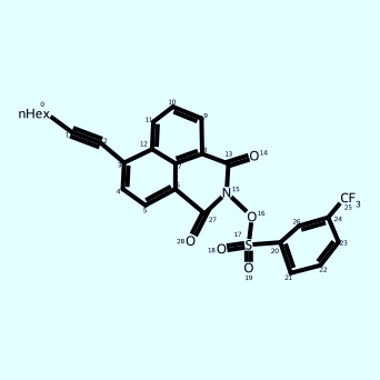 CCCCCCC#Cc1ccc2c3c(cccc13)C(=O)N(OS(=O)(=O)c1cccc(C(F)(F)F)c1)C2=O